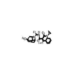 CCC(NC(=O)c1c(O)c2ccccc2n(C2CC2)c1=O)N1C2CC3CC1CC(O)(C3)C2